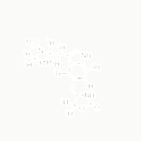 [2H]c1c(C[C@@H]2NC(=O)OC2([2H])[2H])c([2H])c2c(C([2H])([2H])C([2H])([2H])N(C)C([2H])([2H])[2H])c[nH]c2c1[2H]